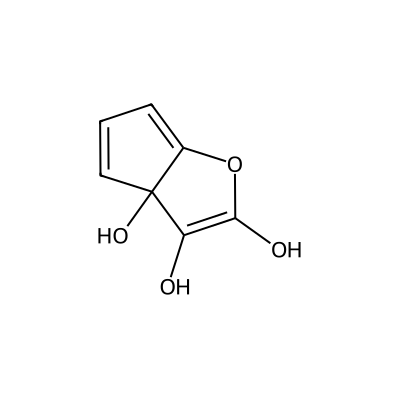 OC1=C(O)C2(O)C=CC=C2O1